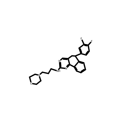 Fc1ccc(C2Cc3cnc(NCCCN4CCOCC4)nc3-c3ccccc32)cc1F